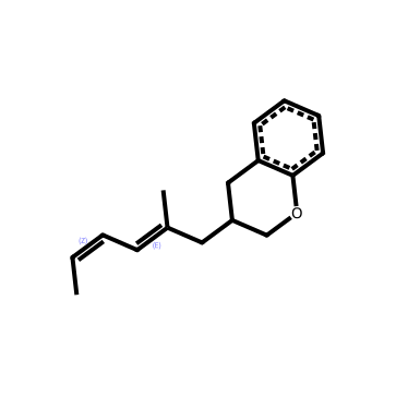 C/C=C\C=C(/C)CC1COc2ccccc2C1